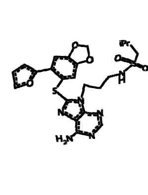 CC(C)CS(=O)(=O)NCCCn1c(Sc2cc3c(cc2-c2ccco2)OCO3)nc2c(N)ncnc21